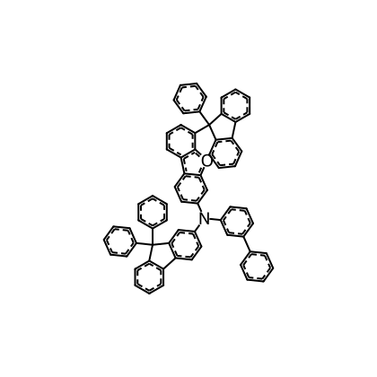 c1ccc(-c2cccc(N(c3ccc4c(c3)C(c3ccccc3)(c3ccccc3)c3ccccc3-4)c3ccc4c(c3)oc3c(C5(c6ccccc6)c6ccccc6-c6ccccc65)cccc34)c2)cc1